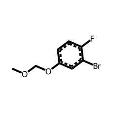 COCOc1ccc(F)c(Br)c1